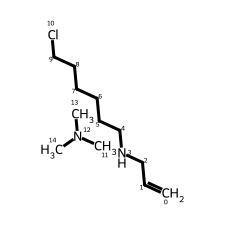 C=CCNCCCCCCCl.CN(C)C